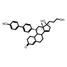 C[C@]12C[C@H](c3ccc(-c4ccc(C#N)cc4)cc3)C3C4CCC(=O)C=C4CCC3C1=CC[C@@]2(O)CCCO